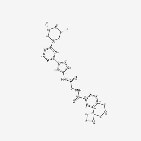 C[C@@H]1CN(c2cccc(-c3csc(NC(=O)CNC(=O)c4ccc5c(c4)[C@@]4(CCO4)COC5)n3)n2)C[C@H](C)O1